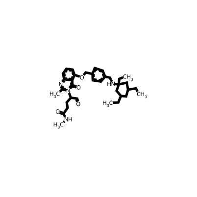 CCC1CC(CC)CC(CC)(NCc2ccc(COc3cccc4nc(C)n(C(C=O)CCC(=O)NC)c(=O)c34)cc2)C1